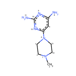 CN1CCN(c2cc(N)nc(N)n2)CC1